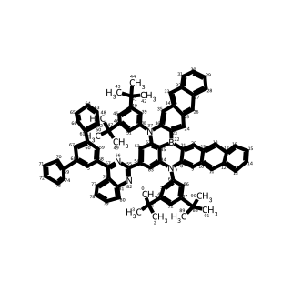 CC(C)(C)c1cc(N2c3cc4cc5ccccc5cc4cc3B3c4cc5cc6ccccc6cc5cc4N(c4cc(C(C)(C)C)cc(C(C)(C)C)c4)c4cc(-c5nc(-c6cc(-c7ccccc7)cc(-c7ccccc7)c6)c6ccccc6n5)cc2c43)cc(C(C)(C)C)c1